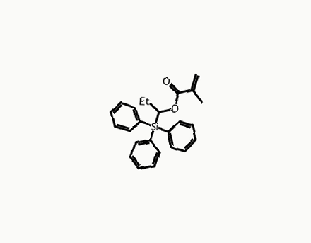 C=C(C)C(=O)OC(CC)[Si](c1ccccc1)(c1ccccc1)c1ccccc1